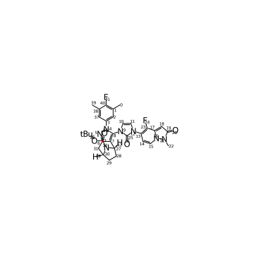 Cc1cc(-n2nc3c(c2-n2ccn(-c4ccn5c(cc(=O)n5C)c4F)c2=O)[C@@H]2CC[C@H](C3)N2C(=O)OC(C)(C)C)cc(C)c1F